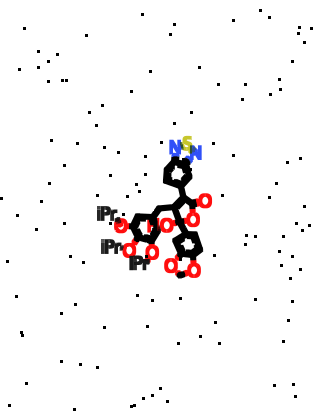 CC(C)Oc1cc(CC2=C(c3ccc4nsnc4c3)C(=O)OC2(O)c2ccc3c(c2)OCO3)cc(OC(C)C)c1OC(C)C